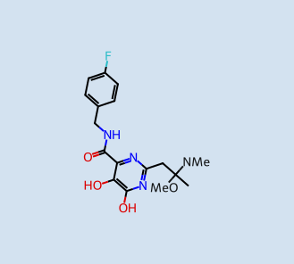 CNC(C)(Cc1nc(O)c(O)c(C(=O)NCc2ccc(F)cc2)n1)OC